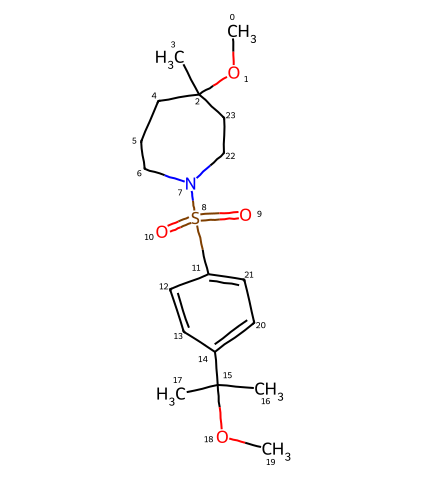 COC1(C)CCCN(S(=O)(=O)c2ccc(C(C)(C)OC)cc2)CC1